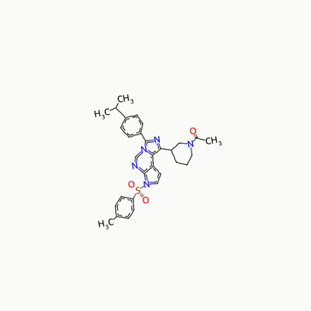 CC(=O)N1CCCC(c2nc(-c3ccc(C(C)C)cc3)n3cnc4c(ccn4S(=O)(=O)c4ccc(C)cc4)c23)C1